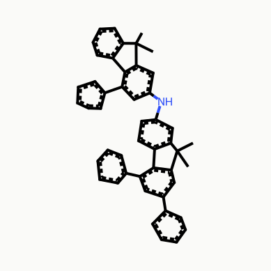 CC1(C)c2ccccc2-c2c(-c3ccccc3)cc(Nc3ccc4c(c3)C(C)(C)c3cc(-c5ccccc5)cc(-c5ccccc5)c3-4)cc21